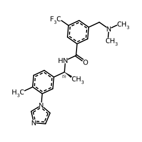 Cc1ccc([C@H](C)NC(=O)c2cc(CN(C)C)cc(C(F)(F)F)c2)cc1-n1ccnc1